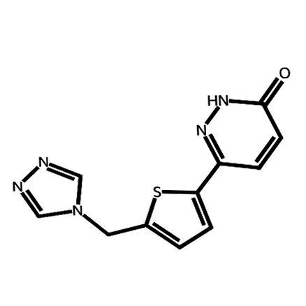 O=c1ccc(-c2ccc(Cn3cnnc3)s2)n[nH]1